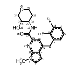 Cn1ccc2c(Cc3cccc(F)c3F)cc(C(=O)N[C@H]3CCOC[C@H]3O)nc21